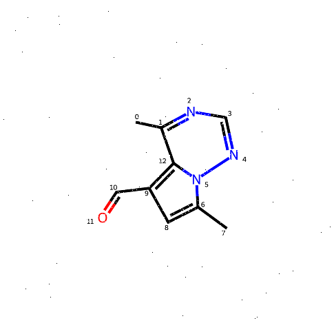 Cc1ncnn2c(C)cc(C=O)c12